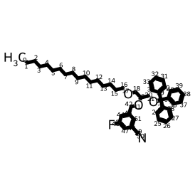 CCCCCCCCCCCCCCCCCOCC(COC(c1ccccc1)(c1ccccc1)c1ccccc1)OCc1cc(F)cc(C#N)c1